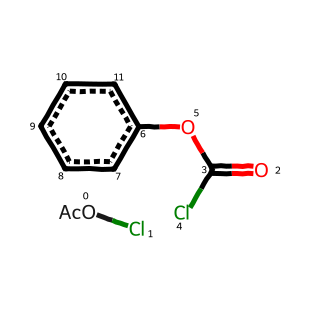 CC(=O)OCl.O=C(Cl)Oc1ccccc1